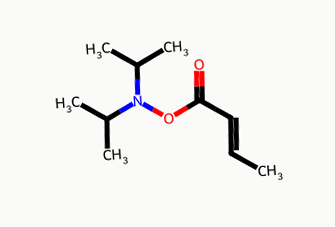 C/C=C/C(=O)ON(C(C)C)C(C)C